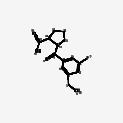 CCc1cc(F)cc(C(=O)N2CCCC2C(=O)O)c1